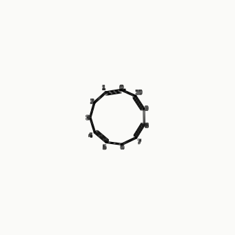 [C]1=CCCC=CCC=CC=C1